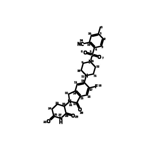 Cc1ccc(S(=O)(=O)N2CCN(c3cc4c(cc3F)C(=O)N(C3CCC(=O)NC3=O)C4)CC2)c(C#N)c1